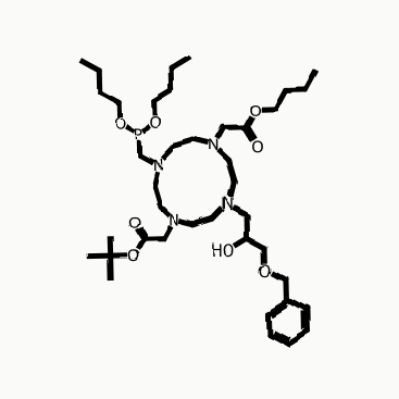 CCCCOC(=O)CN1CCN(CC(O)COCc2ccccc2)CCN(CC(=O)OC(C)(C)C)CCN(CP(OCCCC)OCCCC)CC1